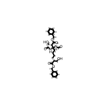 O=CNC(CCCC[C@H](CO)C(=O)OCc1ccccc1)(NC=O)[C@H](CO)C(=O)OCc1ccccc1